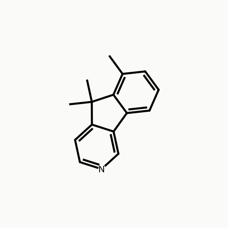 Cc1cccc2c1C(C)(C)c1ccncc1-2